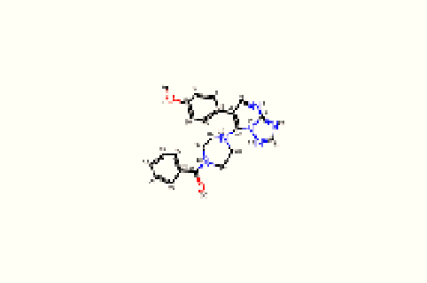 COc1ccc(-c2cnc3ncnn3c2N2CCN(C(=O)c3ccccc3)CC2)cc1